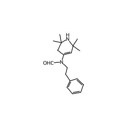 CC1(C)C=C(N(C=O)CCc2ccccc2)CC(C)(C)N1